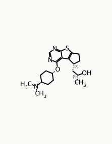 C[C@@H](O)C[C@H]1CCc2sc3ncnc(O[C@H]4CC[C@H](N(C)C)CC4)c3c21